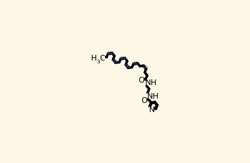 CC/C=C\C/C=C\C/C=C\C/C=C\C/C=C\C/C=C\CCC(=O)NCCCNC(=O)c1cccnc1